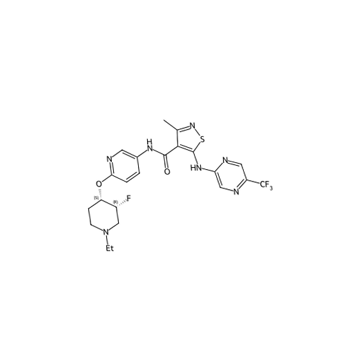 CCN1CC[C@H](Oc2ccc(NC(=O)c3c(C)nsc3Nc3cnc(C(F)(F)F)cn3)cn2)[C@H](F)C1